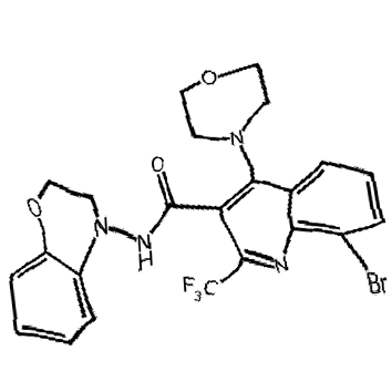 O=C(NN1CCOc2ccccc21)c1c(C(F)(F)F)nc2c(Br)cccc2c1N1CCOCC1